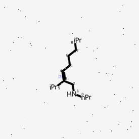 CCCNC/C(=C\CCCC(C)C)C(C)C